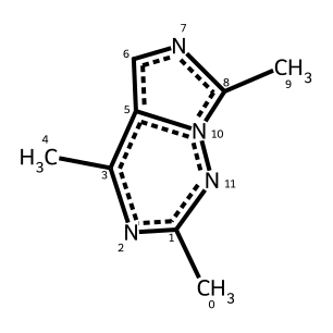 Cc1nc(C)c2cnc(C)n2n1